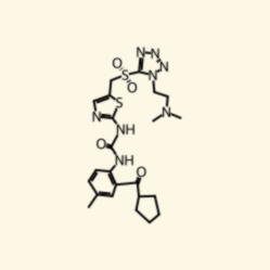 Cc1ccc(NC(=O)Nc2ncc(CS(=O)(=O)c3nnnn3CCN(C)C)s2)c(C(=O)C2CCCC2)c1